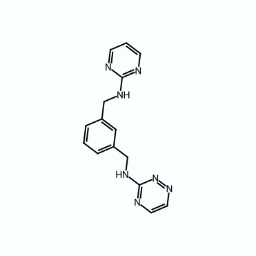 c1cnc(NCc2cccc(CNc3nccnn3)c2)nc1